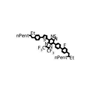 CCCCCC(CC)Cc1ccc(-c2ccc(-c3c4nsnc4c(-c4ccc(-c5ccc(CC(CC)CCCCC)cc5F)cc4)c4nc(C(F)(F)F)c(C(F)(F)F)nc34)s2)cc1